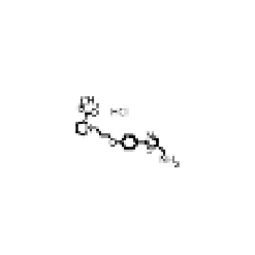 COC(=O)[C@@H]1CCCN1CCCOc1ccc(-c2ncc(CN)s2)cc1.Cl